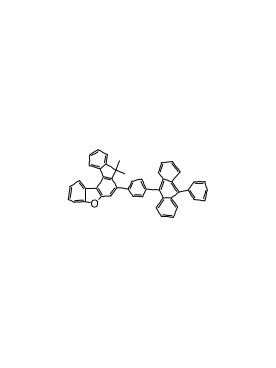 CC1(C)c2ccccc2-c2c1c(-c1ccc(-c3c4ccccc4c(-c4ccccc4)c4ccccc34)cc1)cc1oc3ccccc3c21